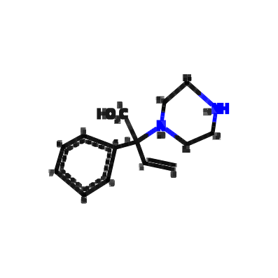 C=CC(C(=O)O)(c1ccccc1)N1CCNCC1